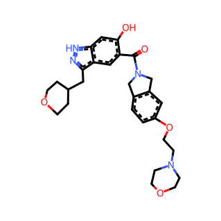 O=C(c1cc2c(CC3CCOCC3)n[nH]c2cc1O)N1Cc2ccc(OCCN3CCOCC3)cc2C1